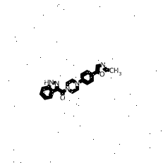 Cc1ncc(-c2ccc(N3CCN(C(=O)c4n[nH]c5ccccc45)CC3)cc2)o1